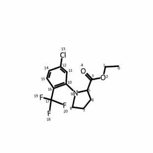 CCOC(=O)C1CCCN1c1cc(Cl)ccc1C(F)(F)F